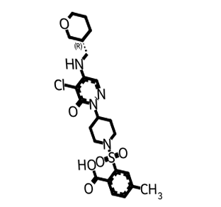 Cc1ccc(C(=O)O)c(S(=O)(=O)N2CCC(n3ncc(NC[C@H]4CCCOC4)c(Cl)c3=O)CC2)c1